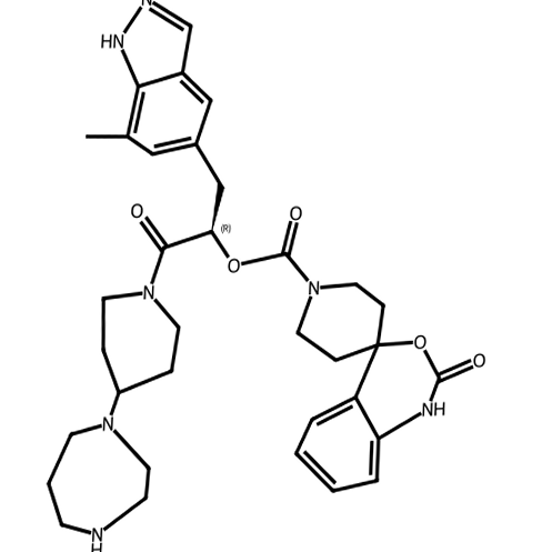 Cc1cc(C[C@@H](OC(=O)N2CCC3(CC2)OC(=O)Nc2ccccc23)C(=O)N2CCC(N3CCCNCC3)CC2)cc2cn[nH]c12